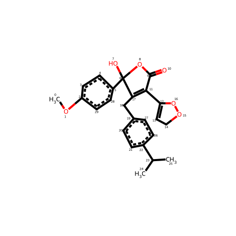 COc1ccc(C2(O)OC(=O)C(C3=CCOO3)=C2Cc2ccc(C(C)C)cc2)cc1